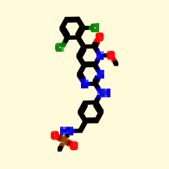 COn1c(=O)c(-c2c(Cl)cccc2Cl)cc2cnc(Nc3ccc(CNS(C)(=O)=O)cc3)nc21